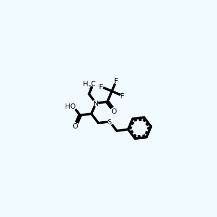 CCN(C(=O)C(F)(F)F)C(CSCc1ccccc1)C(=O)O